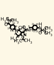 CC(C)n1nc(C(=O)NCc2ccc(NC(=O)N(C)C)cc2)c2c1[C@@H](C)CN(c1ccc(C(=O)N(C)C)cn1)[C@H]2C